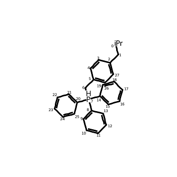 CC(C)Cc1ccc(C[PH](c2ccccc2)(c2ccccc2)c2ccccc2)cc1